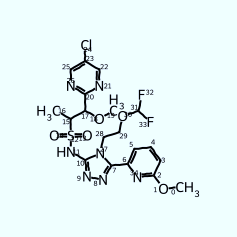 COc1cccc(-c2nnc(NS(=O)(=O)C(C)C(OC)c3ncc(Cl)cn3)n2CCOC(F)F)n1